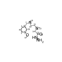 COc1cccc(CN(C)CCN(C)CC(=O)NN)c1